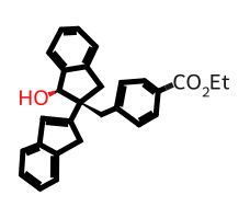 CCOC(=O)c1ccc(C[C@]2(C3=Cc4ccccc4C3)Cc3ccccc3[C@@H]2O)cc1